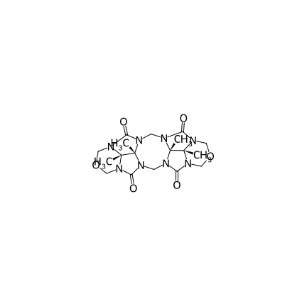 C[C@]12N3COCN1C(=O)N1CN4C(=O)N5COCN6C(=O)N(CN(C3=O)[C@]12C)[C@]4(C)[C@@]56C